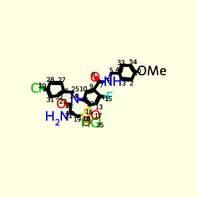 COc1ccc(CNC(=O)c2cc3c(cc2F)S(=O)(=O)C[C@H](N)C(=O)N3Cc2ccc(Cl)cc2)cc1.Cl